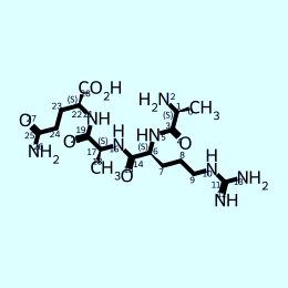 C[C@H](N)C(=O)N[C@@H](CCCNC(=N)N)C(=O)N[C@@H](C)C(=O)N[C@@H](CCC(N)=O)C(=O)O